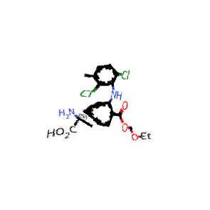 CCOCOC(=O)c1ccccc1Nc1c(Cl)ccc(C)c1Cl.C[C@H](N)C(=O)O